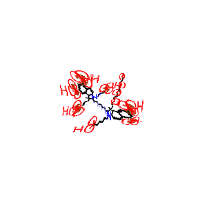 COCCOCCOCCOCCC1(C)\C(=C/C=C/C=C/C=C/C2=[N+](CCCS(=O)(=O)O)c3ccc4c(S(=O)(=O)O)cc(S(=O)(=O)O)cc4c3C2(C)CCCS(=O)(=O)O)N(CCCCCC(=O)O)c2ccc3c(S(=O)(=O)[O-])cc(S(=O)(=O)O)cc3c21